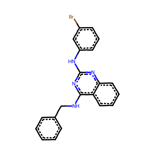 Brc1cccc(Nc2nc(NCc3ccccc3)c3ccccc3n2)c1